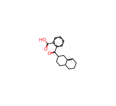 O=C(O)c1ccccc1C(=O)C1CCC2CCCC=C2C1